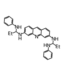 CCC(Nc1ccccc1)Nc1ccc2cc3ccc(NC(CC)Nc4ccccc4)cc3nc2c1